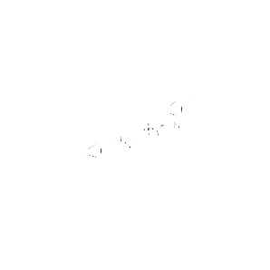 O=C(COc1ccc(Cl)c(F)c1)NC1CCN(NC(=O)[C@H]2CNc3cc(Cl)ccc3O2)CC1